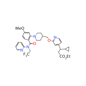 CCOC(=O)CC(c1ccnc(OCC2CCN(c3cc(OC)ccc3C(=O)N(CC(F)(F)F)c3ccccn3)CC2)c1)C1CC1